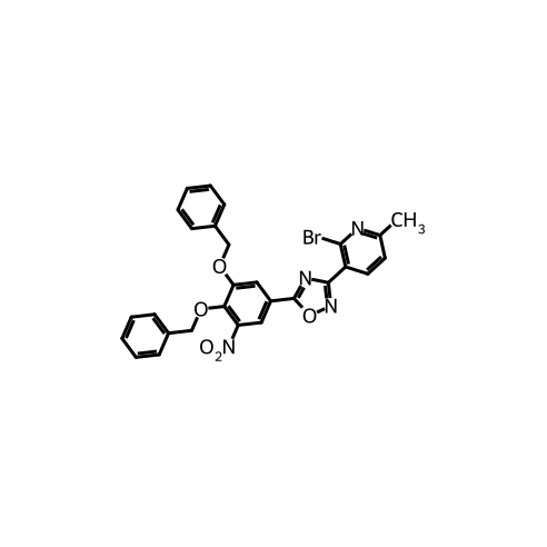 Cc1ccc(-c2noc(-c3cc(OCc4ccccc4)c(OCc4ccccc4)c([N+](=O)[O-])c3)n2)c(Br)n1